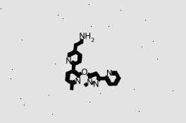 Cc1ccc(-c2ccc(CCN)cn2)c(Oc2cc(-c3ccccn3)nn2C)n1